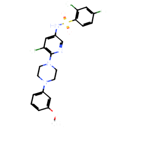 COc1cccc(N2CCN(c3ncc(NS(=O)(=O)c4ccc(Cl)cc4Cl)cc3Cl)CC2)c1